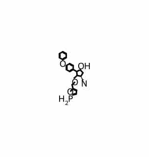 N#C[C@@H]1C[C@@H](O)C(c2ccc(Oc3ccccc3)cc2)C1COCc1ccc(P)o1